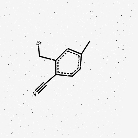 Cc1ccc(C#N)c(CBr)c1